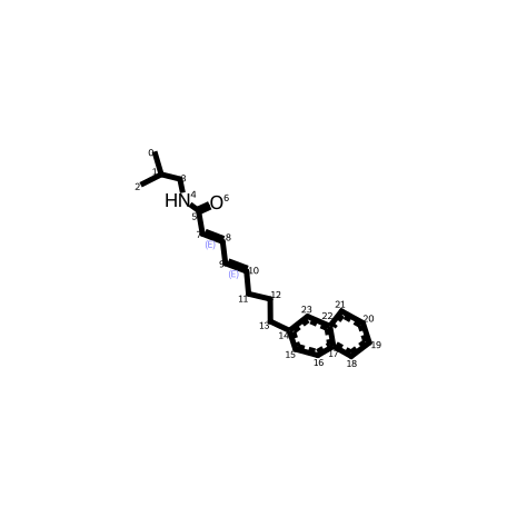 CC(C)CNC(=O)/C=C/C=C/CCCc1ccc2ccccc2c1